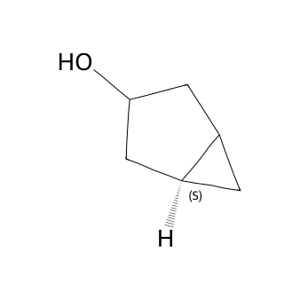 OC1CC2C[C@H]2C1